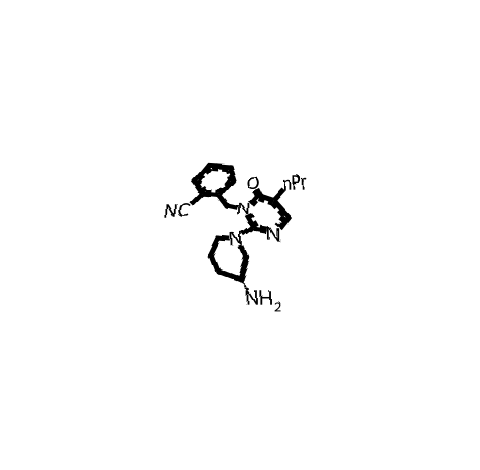 CCCc1cnc(N2CCC[C@@H](N)C2)n(Cc2ccccc2C#N)c1=O